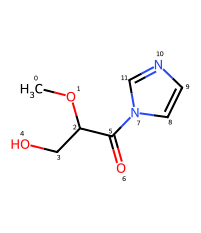 COC(CO)C(=O)n1ccnc1